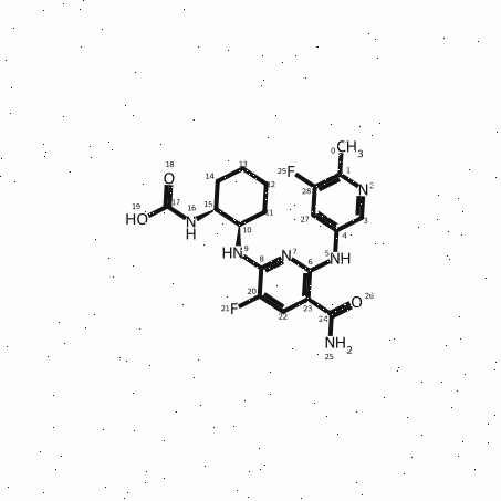 Cc1ncc(Nc2nc(N[C@@H]3CCCC[C@@H]3NC(=O)O)c(F)cc2C(N)=O)cc1F